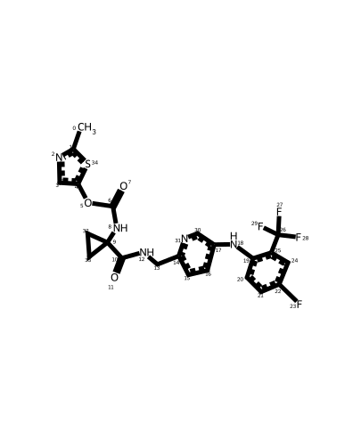 Cc1ncc(OC(=O)NC2(C(=O)NCc3ccc(Nc4ccc(F)cc4C(F)(F)F)cn3)CC2)s1